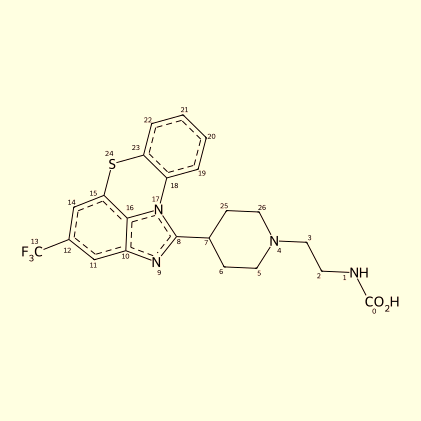 O=C(O)NCCN1CCC(c2nc3cc(C(F)(F)F)cc4c3n2-c2ccccc2S4)CC1